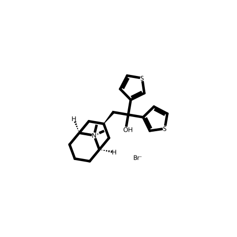 C[N+]1(C)[C@@H]2CCC[C@H]1C[C@@H](CC(O)(c1ccsc1)c1ccsc1)C2.[Br-]